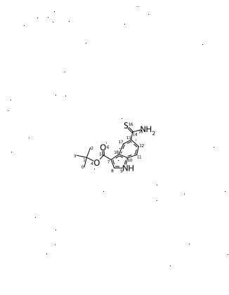 CC(C)(C)OC(=O)c1c[nH]c2ccc(C(N)=S)cc12